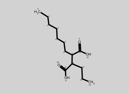 CCCCCCCC(C(=O)O)C(CCC)C(=O)O